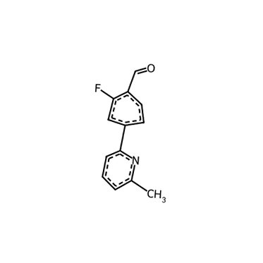 Cc1cccc(-c2ccc(C=O)c(F)c2)n1